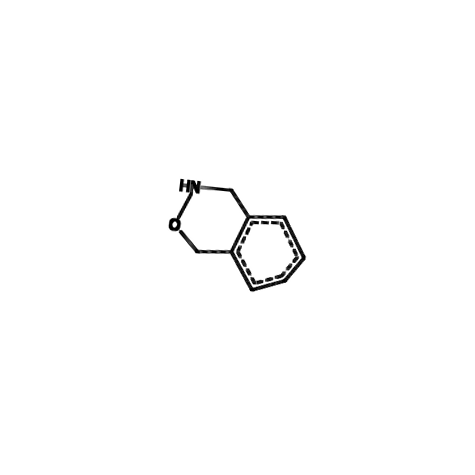 c1ccc2c(c1)CNOC2